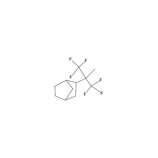 CC(C1CC2CCC1C2)(C(F)(F)F)C(F)(F)F